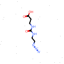 [N-]=[N+]=NCCNC(=O)NCCC(=O)O